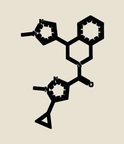 Cn1cc(C2CN(C(=O)c3cc(C4CC4)n(C)n3)Cc3ccccc32)cn1